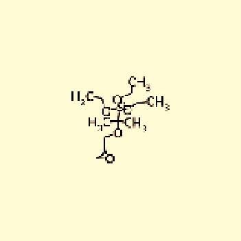 CCO[Si](OCC)(OCC)C(C)(C)OCC1CO1